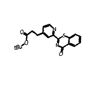 CC(C)(C)OC(=O)CCc1ccnc(-c2nc(=O)c3ccccc3s2)c1